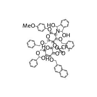 COc1ccc(O[C@H]2O[C@@H](COCc3ccccc3)[C@H](O[C@H]3O[C@H]4COC(c5ccccc5)O[C@@H]4[C@@H](OCc4ccc5ccccc5c4)[C@@H]3OS(=O)(=O)C(F)(F)F)[C@@H](OCc3ccccc3)[C@@H]2N2C(O)c3ccccc3C2O)cc1